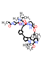 C=CC(=O)N1CC(C(=O)N(C)[C@H](C(=O)N[C@H]2Cc3cccc(c3)-c3ccc4c(c3)c(c(-c3cccnc3[C@H](C)OC)n4CC)CC(C)(C)COC(=O)[C@@H]3CCCN(N3)C2=O)C(C)C)C1